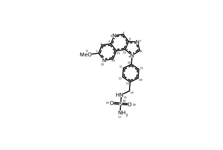 COc1cc2ncc3ncn(-c4ccc(CNS(N)(=O)=O)cc4)c3c2cn1